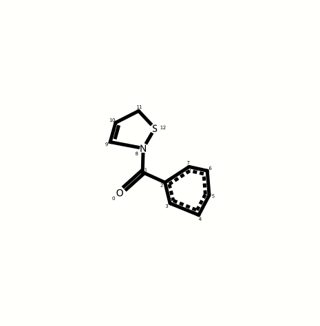 O=C(c1ccccc1)N1C=CCS1